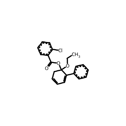 CCOC1(OC(=O)c2ccccc2Cl)CC=CC=C1c1ccccc1